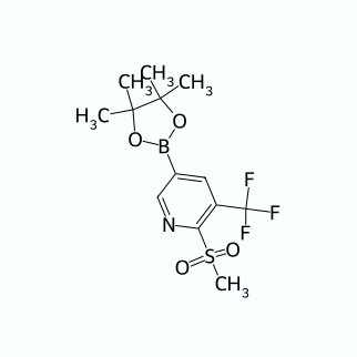 CC1(C)OB(c2cnc(S(C)(=O)=O)c(C(F)(F)F)c2)OC1(C)C